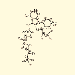 Cc1cncc2c1c(C[C@@H]1CCN([C@H](C)C3CN(C(=O)OC(C)(C)C)C3)C1)cn2-c1ccc(F)cc1C(=O)N(C)C(C)C